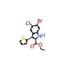 CCOC(=O)c1[nH]c2cc(Br)c(Cl)cc2c1-c1cccs1